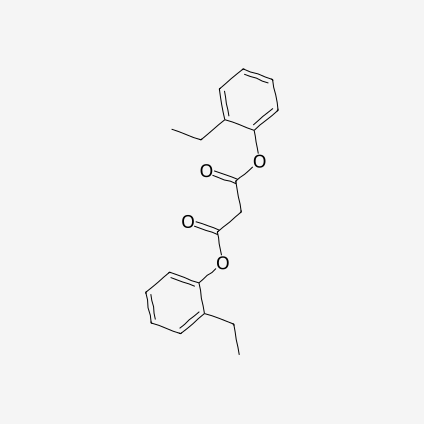 CCc1ccccc1OC(=O)CC(=O)Oc1ccccc1CC